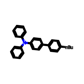 CCCCc1ccc(-c2ccc(N(c3ccccc3)c3ccccc3)cc2)cc1